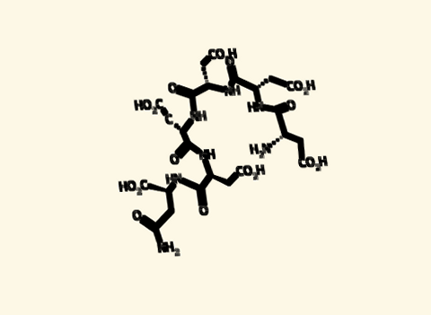 NC(=O)C[C@H](NC(=O)[C@H](CC(=O)O)NC(=O)[C@H](CC(=O)O)NC(=O)[C@H](CC(=O)O)NC(=O)[C@H](CC(=O)O)NC(=O)[C@@H](N)CC(=O)O)C(=O)O